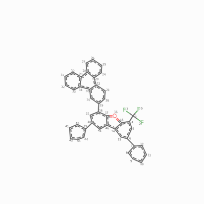 FC(F)(F)c1cc(-c2ccccc2)cc2c1oc1c(-c3ccc4c5ccccc5c5ccccc5c4c3)cc(-c3ccccc3)cc12